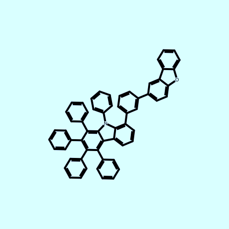 c1ccc(-c2c(-c3ccccc3)c(-c3ccccc3)c3c(c2-c2ccccc2)c2cccc(-c4cccc(-c5ccc6oc7ccccc7c6c5)c4)c2n3-c2ccccc2)cc1